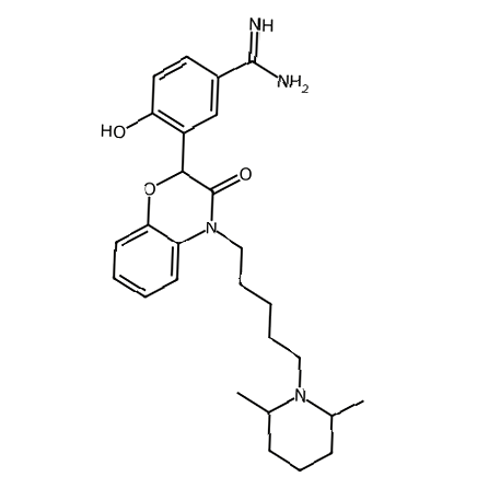 CC1CCCC(C)N1CCCCCN1C(=O)C(c2cc(C(=N)N)ccc2O)Oc2ccccc21